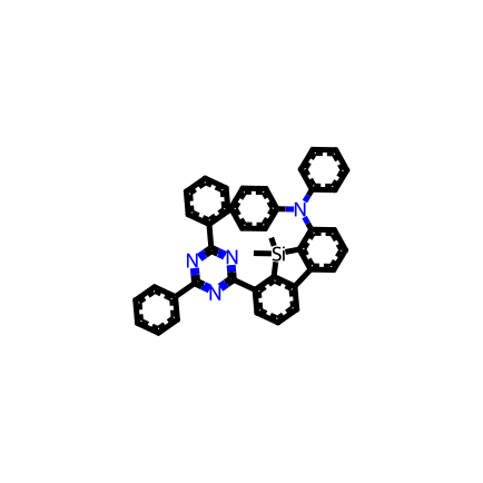 C[Si]1(C)c2c(-c3nc(-c4ccccc4)nc(-c4ccccc4)n3)cccc2-c2cccc(N(c3ccccc3)c3ccccc3)c21